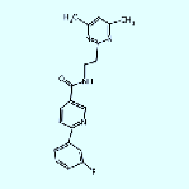 Cc1cc(C)nc(CCNC(=O)c2ccc(-c3cccc(F)c3)nc2)n1